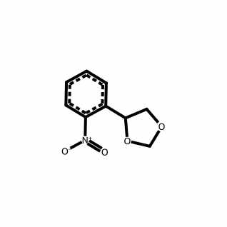 O=[N+]([O-])c1ccccc1C1COCO1